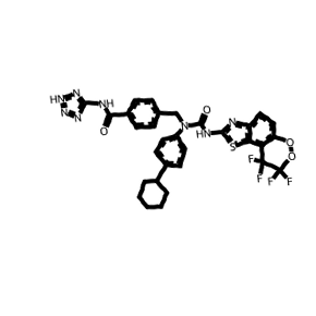 O=C(Nc1nn[nH]n1)c1ccc(CN(C(=O)Nc2nc3ccc4c(c3s2)C(F)(F)C(F)(F)OO4)c2ccc(C3CCCCC3)cc2)cc1